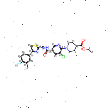 CCOC(=O)C1CCN(c2ncc(C(=O)Nc3nc(-c4ccc(F)c(C)c4)cs3)cc2Cl)CC1